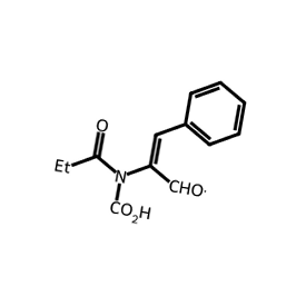 CCC(=O)N(C(=O)O)C([C]=O)=Cc1ccccc1